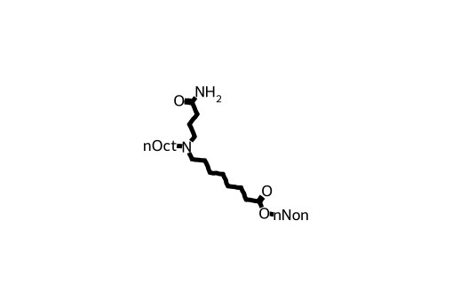 CCCCCCCCCOC(=O)CCCCCCCN(CCCCCCCC)CCCC(N)=O